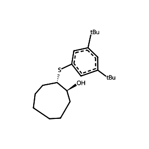 CC(C)(C)c1cc(S[C@H]2CCCCCC[C@@H]2O)cc(C(C)(C)C)c1